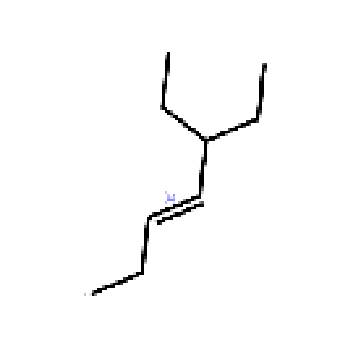 [CH2]C/C=C/C(CC)CC